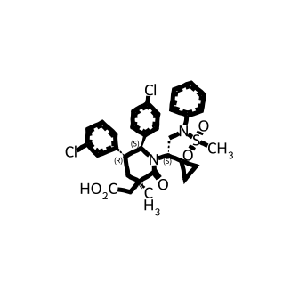 C[C@]1(CC(=O)O)C[C@H](c2cccc(Cl)c2)[C@@H](c2ccc(Cl)cc2)N([C@H](CN(c2ccccc2)S(C)(=O)=O)C2CC2)C1=O